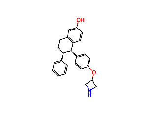 Oc1ccc2c(c1)CC[C@H](c1ccccc1)[C@@H]2c1ccc(OC2CNC2)cc1